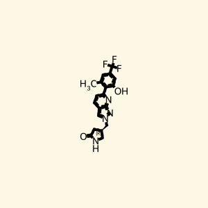 Cc1cc(C(F)(F)F)cc(O)c1-c1ccc2cn(C[C@H]3CNC(=O)C3)nc2n1